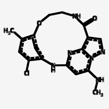 CNc1cc2nc3c(cnn13)C(=O)NCCOc1cc(c(Cl)cc1C)N2